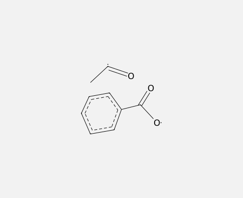 C[C]=O.[O]C(=O)c1ccccc1